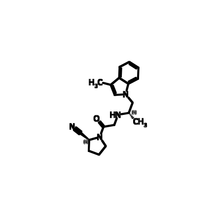 Cc1cn(C[C@H](C)NCC(=O)N2CCC[C@H]2C#N)c2ccccc12